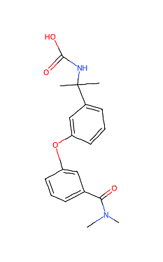 CN(C)C(=O)c1cccc(Oc2cccc(C(C)(C)NC(=O)O)c2)c1